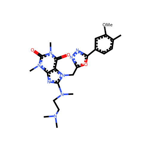 COc1cc(-c2nnc(Cn3c(N(C)CCN(C)C)nc4c3c(=O)n(C)c(=O)n4C)o2)ccc1C